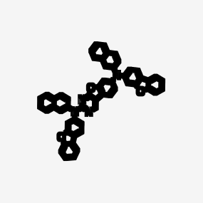 c1ccc2cc(N(c3ccc4c(c3)oc3ccccc34)c3ccc4c(c3)oc3nc(N(c5ccc6ccccc6c5)c5ccc6c(c5)oc5ccccc56)ncc34)ccc2c1